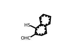 O=Cc1ccc2ccccc2c1S